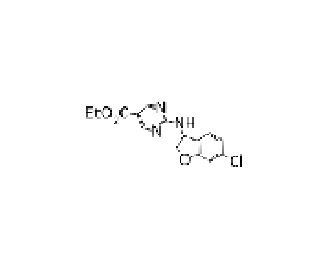 CCOC(=O)c1cnc(NC2COc3cc(Cl)ccc32)nc1